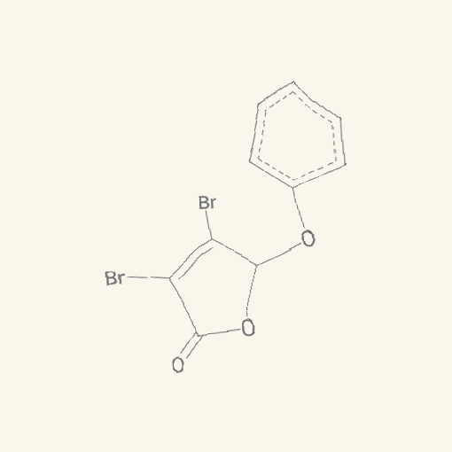 O=C1OC(Oc2ccccc2)C(Br)=C1Br